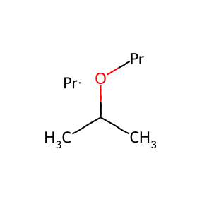 CC(C)[O][Pr].[Pr]